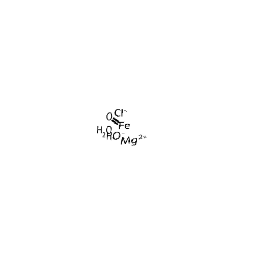 O.[Cl-].[Mg+2].[OH-].[O]=[Fe]